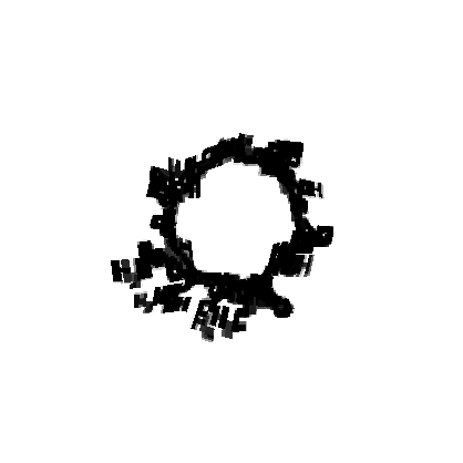 CCCC[C@H]1C(=O)N(C)[C@@H](CCCC)C(=O)N[C@@H](CCCNC(=N)N)C(=O)N[C@H](C(=O)NCC(N)=O)CSCC(=O)N[C@@H](Cc2ccc(O)cc2)C(=O)N(C)[C@@H](C)C(=O)N[C@@H](CN)C(=O)N2CCC[C@H]2C(=O)N[C@@H](Cc2c[nH]cn2)C(=O)N[C@@H](CCC(=O)O)C(=O)N2C[C@H](O)C[C@H]2C(=O)N[C@@H](Cc2c[nH]c3ccccc23)C(=O)N[C@@H](CO)C(=O)N[C@@H](Cc2c[nH]c3ccccc23)C(=O)N1C